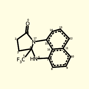 O=C1CCC2(C(F)(F)F)Nc3cccc4cccc(c34)N12